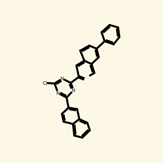 C=C(/C=c1/ccc(-c2ccccc2)c/c1=C/C)c1nc(Cl)nc(-c2ccc3ccccc3c2)n1